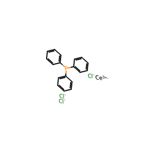 [Ce+3].[Cl-].[Cl-].[Cl-].c1ccc(P(c2ccccc2)c2ccccc2)cc1